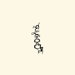 O=C(NCc1ncc(F)cc1F)c1cnc(N2CCC(N3CCC[C@@]4(C3)CC4(F)F)CC2)s1